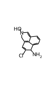 NC1C(Cl)=CC2=c3c1cccc3=CN(O)C2